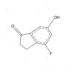 O=C1CCc2c(F)cc(O)cc21